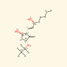 C=C1[C@@H](C=C[C@@H](O)CCCCC)[C@H](O)C[C@H]1O[Si](C)(C)C(C)(C)C